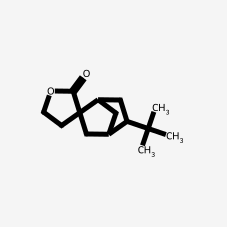 CC(C)(C)C1CC2CC1CC21CCOC1=O